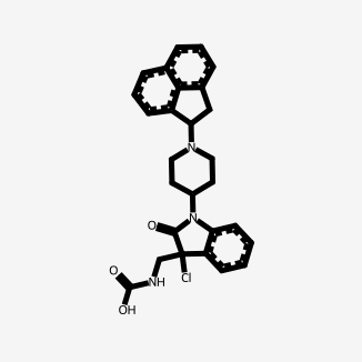 O=C(O)NCC1(Cl)C(=O)N(C2CCN(C3Cc4cccc5cccc3c45)CC2)c2ccccc21